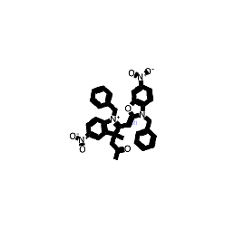 CC(=O)CC1(C)C(/C=C2\Oc3cc([N+](=O)[O-])ccc3N2Cc2ccccc2)=[N+](Cc2ccccc2)c2ccc([N+](=O)[O-])cc21